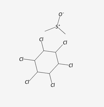 C[S+](C)[O-].ClC1C(Cl)C(Cl)C(Cl)C(Cl)C1Cl